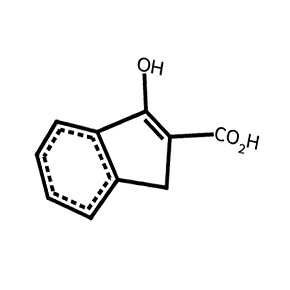 O=C(O)C1=C(O)c2ccccc2C1